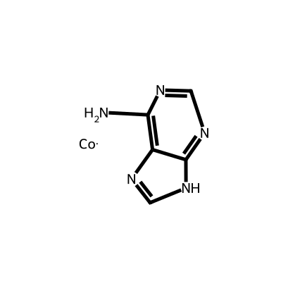 Nc1ncnc2[nH]cnc12.[Co]